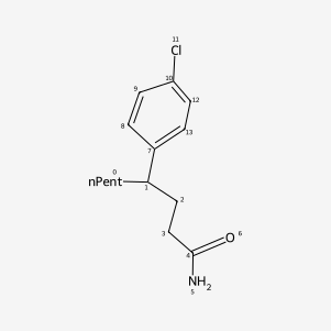 CCCCCC(CCC(N)=O)c1ccc(Cl)cc1